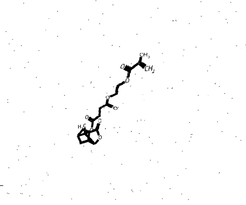 C=C(C)C(=O)OCCOC(=O)CCC(=O)OC1(C)C2CC3C(=O)OC1C3C2